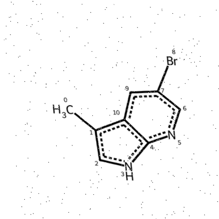 Cc1c[nH]c2ncc(Br)cc12